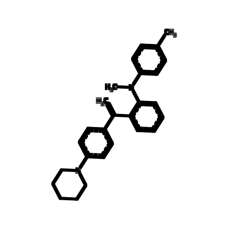 C=C(c1ccc(N2CCCCC2)cc1)c1ccccc1N(C)c1ccc(C)cc1